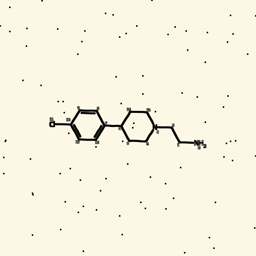 NCCN1CCC(c2ccc(Cl)cc2)CC1